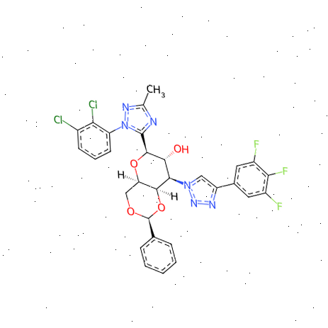 Cc1nc([C@@H]2O[C@@H]3CO[C@H](c4ccccc4)O[C@@H]3[C@H](n3cc(-c4cc(F)c(F)c(F)c4)nn3)[C@H]2O)n(-c2cccc(Cl)c2Cl)n1